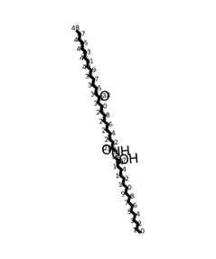 CCCCCCCCCCCCCCCC[C@H](O)CNC(=O)CCCCCCCCCCC(=O)CCCCCCCCCCCCCCC